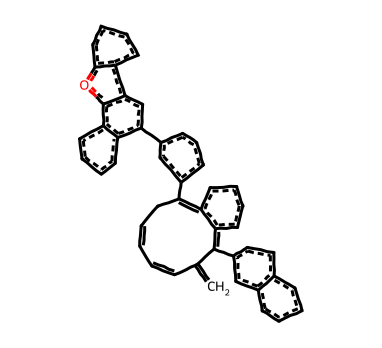 C=C1/C=C\C=C/C/C(c2cccc(-c3cc4c5ccccc5oc4c4ccccc34)c2)=c2/cccc/c2=C/1c1ccc2ccccc2c1